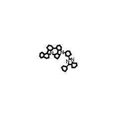 c1ccc(-c2nc(-c3cccc(-n4c5cccc6c7cccc8c9c%10ccccc%10ccc9n(c9cccc4c9c65)c78)c3)nc3ccccc23)cc1